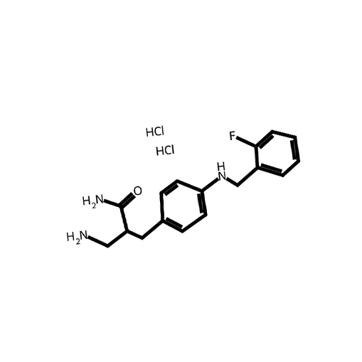 Cl.Cl.NCC(Cc1ccc(NCc2ccccc2F)cc1)C(N)=O